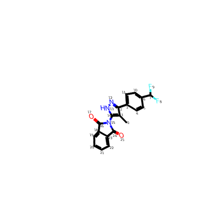 Cc1c(-c2ccc(C(F)F)cc2)n[nH]c1N1C(=O)c2ccccc2C1=O